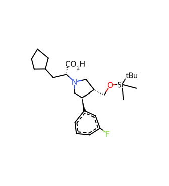 CC(C)(C)[Si](C)(C)OC[C@H]1CN([C@H](CC2CCCC2)C(=O)O)C[C@@H]1c1cccc(F)c1